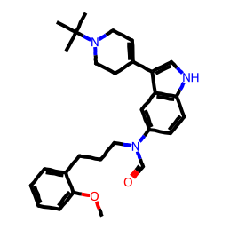 COc1ccccc1CCCN(C=O)c1ccc2[nH]cc(C3=CCN(C(C)(C)C)CC3)c2c1